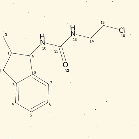 CC1Cc2ccccc2C1NC(=O)NCCCl